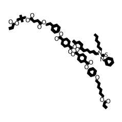 C=CC(=O)OCCCCCCOc1ccc(OC(=O)C2CCC(C(=O)OC(/C=C\C(=C)OC(=O)C3CCC(C(=O)Oc4ccc(CCOC(=O)CCC(=O)OCC(C)(C)COC(=O)C=C)cc4)CC3)=C/CC/C=C/N(CCCCCC)c3nc4ccccc4s3)CC2)cc1